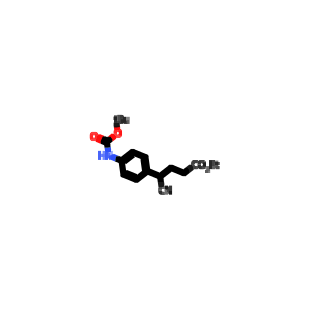 CCOC(=O)CCC(C#N)c1ccc(NC(=O)OC(C)(C)C)cc1